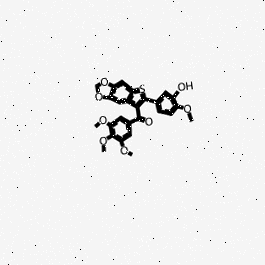 COc1ccc(-c2sc3cc4c(cc3c2C(=O)c2cc(OC)c(OC)c(OC)c2)OCO4)cc1O